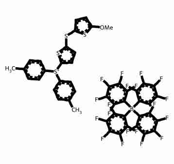 COc1ccc(Sc2ccc([S+](c3ccc(C)cc3)c3ccc(C)cc3)s2)s1.Fc1c(F)c(F)c([B-](c2c(F)c(F)c(F)c(F)c2F)(c2c(F)c(F)c(F)c(F)c2F)c2c(F)c(F)c(F)c(F)c2F)c(F)c1F